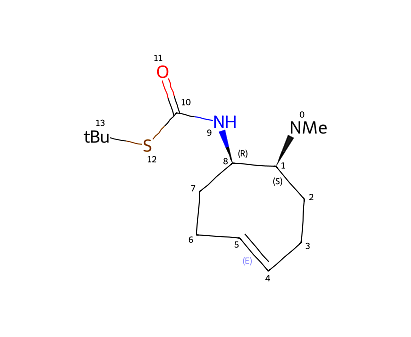 CN[C@H]1CC/C=C/CC[C@H]1NC(=O)SC(C)(C)C